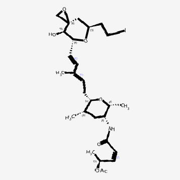 CC(=O)O[C@@H](C)/C=C\C(=O)N[C@@H]1C[C@H](C)[C@H](C/C=C(C)/C=C/[C@H]2O[C@H](CCI)C[C@@]3(CO3)[C@@H]2O)O[C@@H]1C